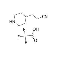 N#CCCC1CCNCC1.O=C(O)C(F)(F)F